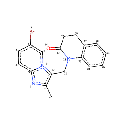 Cc1nc2ccc(Br)cn2c1CN1C(=O)CCc2ccccc21